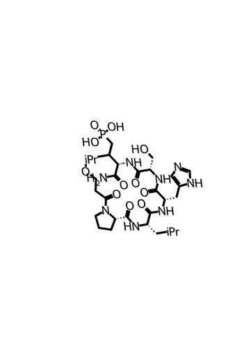 CC(C)C[C@H](NC(=O)[C@@H]1CCCN1C(=O)CCOC(C)C)C(=O)N[C@@H](Cc1cnc[nH]1)C(=O)N[C@@H](CO)C(=O)N[C@H](C(N)=O)C(C)CP(=O)(O)O